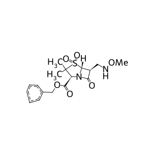 CONC[C@H]1C(=O)N2[C@@H](C(=O)OCc3ccccc3)C(C)(C)S(=O)(=O)[C@H]12